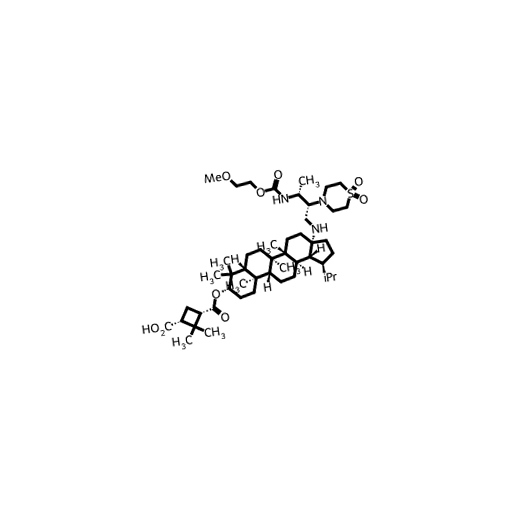 COCCOC(=O)N[C@H](C)[C@@H](CN[C@]12CC[C@@H](C(C)C)[C@@H]1[C@H]1CC[C@@H]3[C@@]4(C)CC[C@H](OC(=O)[C@H]5C[C@@H](C(=O)O)C5(C)C)C(C)(C)[C@@H]4CC[C@@]3(C)[C@]1(C)CC2)N1CCS(=O)(=O)CC1